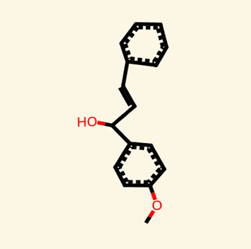 COc1ccc(C(O)C=Cc2ccccc2)cc1